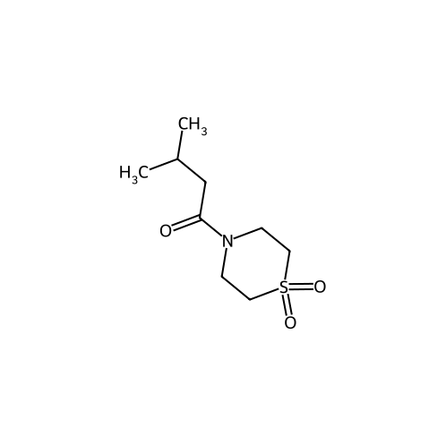 CC(C)CC(=O)N1CCS(=O)(=O)CC1